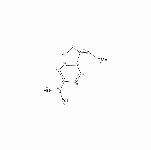 CO/N=C1/CCc2cc(B(O)O)ccc21